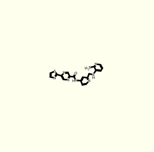 Nc1ncccc1NCc1cc(NC(=O)c2cnc(-c3nccs3)cn2)ccn1